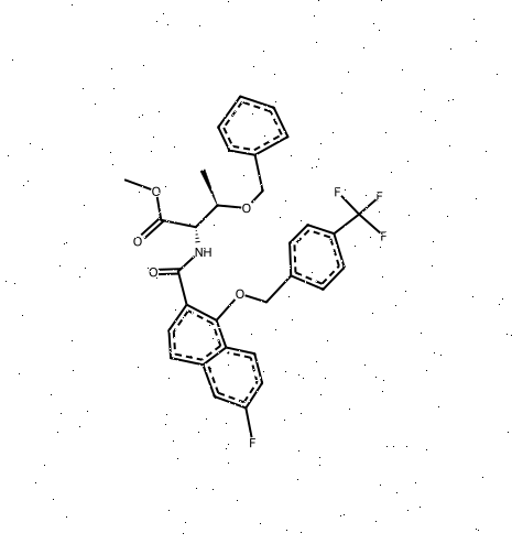 COC(=O)[C@@H](NC(=O)c1ccc2cc(F)ccc2c1OCc1ccc(C(F)(F)F)cc1)[C@@H](C)OCc1ccccc1